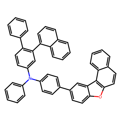 c1ccc(-c2ccc(N(c3ccccc3)c3ccc(-c4ccc5oc6ccc7ccccc7c6c5c4)cc3)cc2-c2cccc3ccccc23)cc1